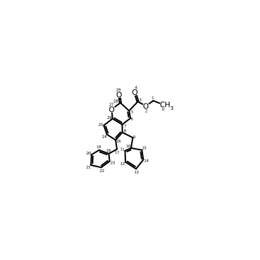 CCOC(=O)c1cc2c(Cc3ccccc3)c(Cc3ccccc3)ccc2oc1=O